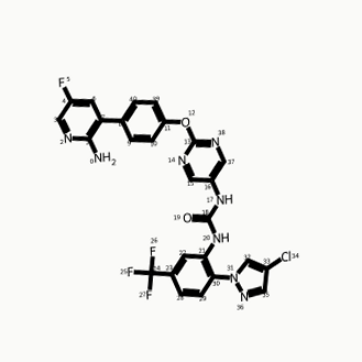 Nc1ncc(F)cc1-c1ccc(Oc2ncc(NC(=O)Nc3cc(C(F)(F)F)ccc3-n3cc(Cl)cn3)cn2)cc1